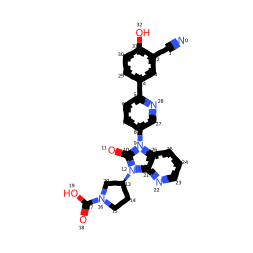 N#Cc1cc(-c2ccc(-n3c(=O)n([C@H]4CCN(C(=O)O)C4)c4ncccc43)cn2)ccc1O